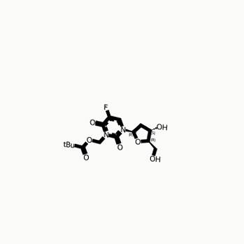 CC(C)(C)C(=O)OCn1c(=O)c(F)cn([C@H]2C[C@H](O)[C@@H](CO)O2)c1=O